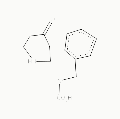 O=C(O)NCc1ccccc1.O=C1CCNCC1